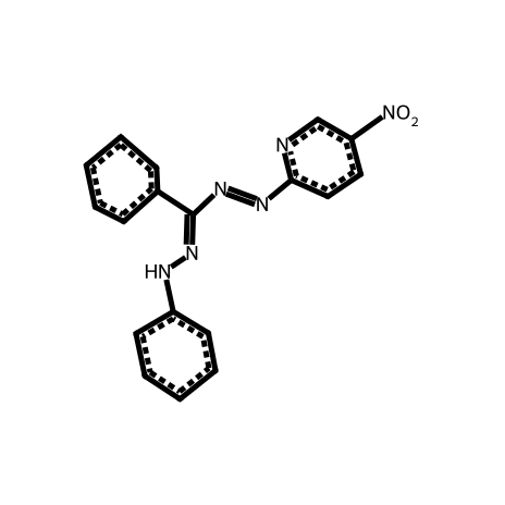 O=[N+]([O-])c1ccc(N=NC(=NNc2ccccc2)c2ccccc2)nc1